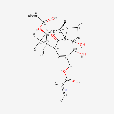 C/C=C(\C)C(=O)OCC1=CC2C(=O)C3(C=C(C)CC3(O)C1O)[C@H](C)C[C@]1(OC(=O)CCCCC)[C@@H]2C1(C)C